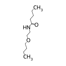 CCCCOCCNC(=O)CCCC